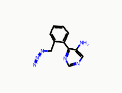 [N-]=[N+]=NCc1ccccc1-c1ncncc1N